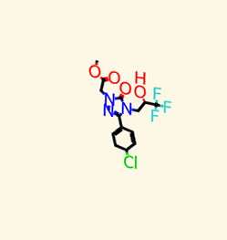 COC(=O)Cn1nc(C2=CCC(Cl)C=C2)n(C[C@@H](O)C(F)(F)F)c1=O